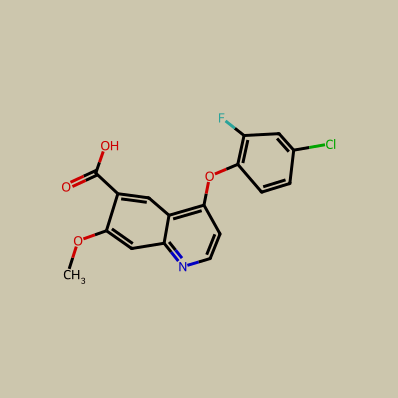 COc1cc2nccc(Oc3ccc(Cl)cc3F)c2cc1C(=O)O